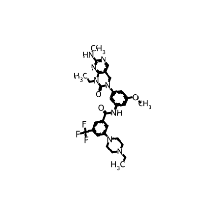 CCN1CCN(c2cc(C(=O)Nc3cc(OC)cc(N4Cc5cnc(NC)nc5N(CC)C4=O)c3)cc(C(F)(F)F)c2)CC1